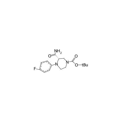 CC(C)(C)OC(=O)N1CCN(c2ccc(F)cc2)[C@H](C(N)=O)C1